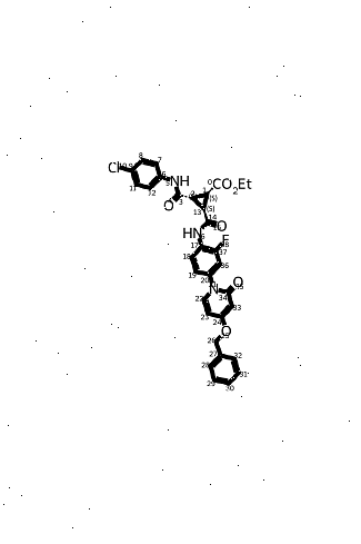 CCOC(=O)[C@H]1[C@@H](C(=O)Nc2ccc(Cl)cc2)[C@@H]1C(=O)Nc1ccc(-n2ccc(OCc3ccccc3)cc2=O)cc1F